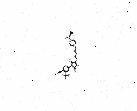 CC1=C(CCCCCN2CCN(C(=O)C3CC3)CC2)C(=O)N(c2ccc(C#N)c(C(F)(F)F)c2)C1=O